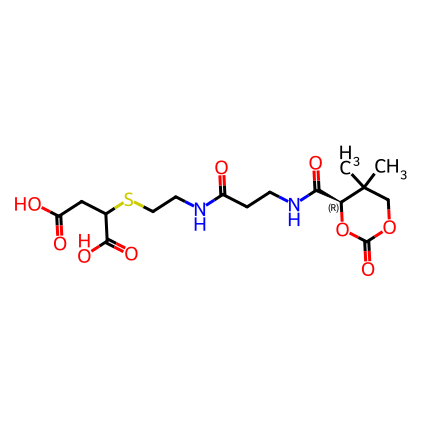 CC1(C)COC(=O)O[C@H]1C(=O)NCCC(=O)NCCSC(CC(=O)O)C(=O)O